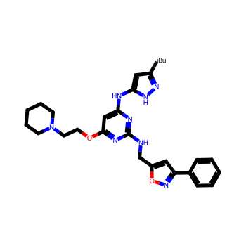 CCC(C)c1cc(Nc2cc(OCCN3CCCCC3)nc(NCc3cc(-c4ccccc4)no3)n2)[nH]n1